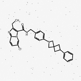 CCc1nc2ccc(Cl)cn2c1C(=O)NCc1ccc(N2CC3(CC(c4ccccc4)C3)C2)cc1